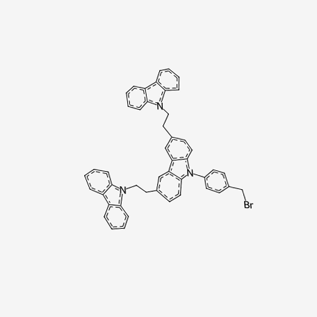 BrCc1ccc(-n2c3ccc(CCn4c5ccccc5c5ccccc54)cc3c3cc(CCn4c5ccccc5c5ccccc54)ccc32)cc1